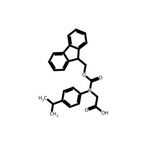 CC(C)c1ccc(N(CC(=O)O)C(=O)OCC2c3ccccc3-c3ccccc32)cc1